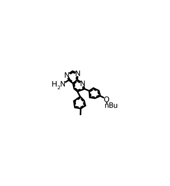 CCCCOc1ccc(-c2nc3ncnc(N)c3cc2-c2ccc(C)cc2)cc1